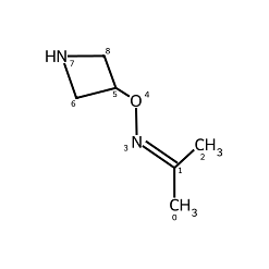 CC(C)=NOC1CNC1